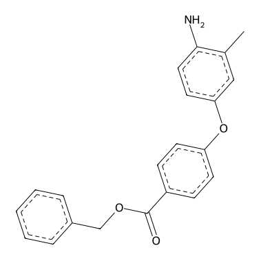 Cc1cc(Oc2ccc(C(=O)OCc3ccccc3)cc2)ccc1N